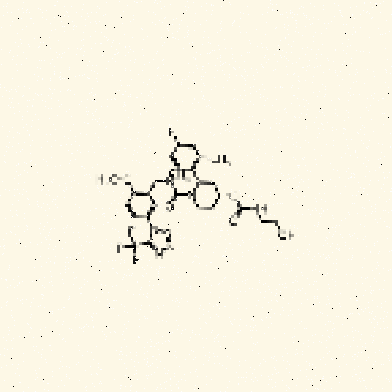 COc1ccc(-n2nnnc2C(F)(F)F)cc1CN(C)C(=O)N1CC[C@H](OC(=O)NCCO)C[C@@H]1c1ccc(F)cc1C